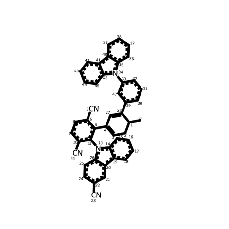 CC1CC=C(c2c(C#N)ccc(C#N)c2-n2c3ccccc3c3cc(C#N)ccc32)C=C1c1cccc(-n2c3ccccc3c3ccccc32)c1